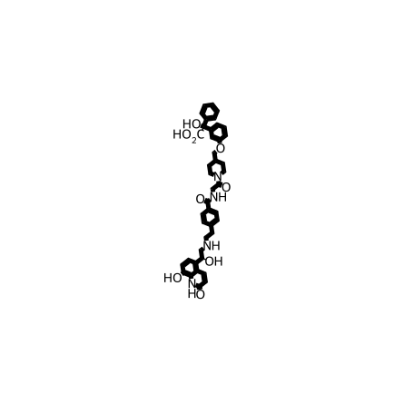 O=C(NCC(=O)N1CCC(COc2cccc([C@](O)(C(=O)O)c3ccccc3)c2)CC1)c1ccc(CCNC[C@H](O)c2ccc(O)c3[nH]c(=O)ccc23)cc1